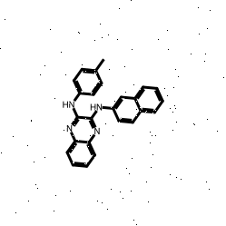 Cc1ccc(Nc2nc3ccccc3nc2Nc2ccc3ccccc3c2)cc1